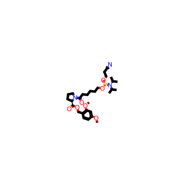 COc1ccc(COC(=O)[C@H]2CCCN2C(=O)CCCCCOP(OCCC#N)N(C(C)C)C(C)C)c(OC)c1